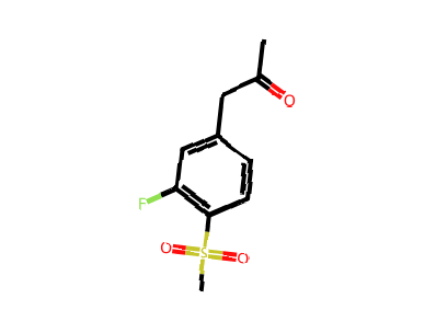 CC(=O)Cc1ccc(S(C)(=O)=O)c(F)c1